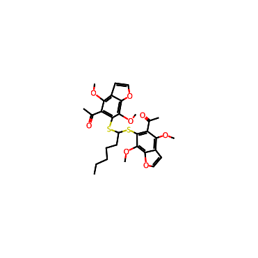 CCCCCC(Sc1c(C(C)=O)c(OC)c2ccoc2c1OC)Sc1c(C(C)=O)c(OC)c2ccoc2c1OC